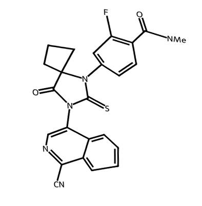 CNC(=O)c1ccc(N2C(=S)N(c3cnc(C#N)c4ccccc34)C(=O)C23CCC3)cc1F